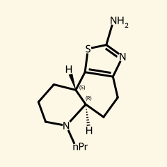 CCCN1CCC[C@@H]2c3sc(N)nc3CC[C@H]21